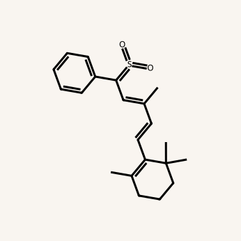 CC(C=CC1=C(C)CCCC1(C)C)=CC(c1ccccc1)=S(=O)=O